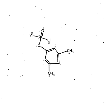 Cc1cc(C)cc(OP(=O)(Cl)Cl)c1